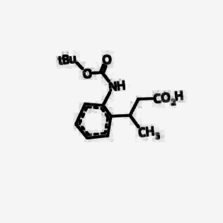 CC(CC(=O)O)c1ccccc1NC(=O)OC(C)(C)C